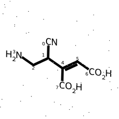 N#CC(CN)/C(=C/C(=O)O)C(=O)O